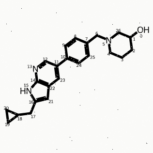 OC1CCCN(Cc2ccc(-c3cnc4[nH]c(CC5CC5)cc4c3)cc2)C1